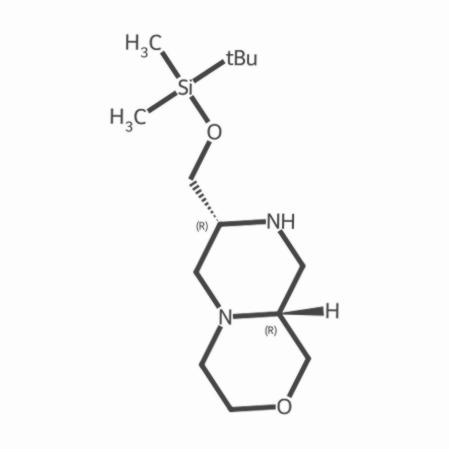 CC(C)(C)[Si](C)(C)OC[C@H]1CN2CCOC[C@H]2CN1